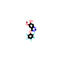 COc1cc2c(Oc3c(F)c(F)c(F)c(F)c3F)ncnc2cc1O